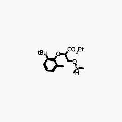 CCOC(=O)C(CO[SiH](C)C)Oc1c(C)cccc1C(C)(C)C